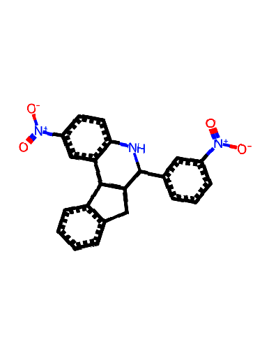 O=[N+]([O-])c1cccc(C2Nc3ccc([N+](=O)[O-])cc3C3c4ccccc4CC23)c1